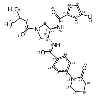 CC(C)CC(=O)N1C[C@@H](NC(=O)c2ccc(N3CCCCC3=O)cc2)[C@H](NC(=O)c2ccc(Cl)s2)C1